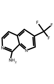 Nc1nccc2cc(C(F)(F)F)cnc12